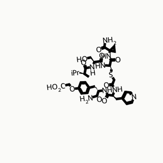 CC(C)[C@H](C)C(=O)N[C@@H](CO)C(=O)N[C@@H](CSCC(=O)N[C@@H](Cc1ccncc1)C(=O)N[C@@H](Cc1ccc(OCC(=O)O)cc1)C(N)=O)C(=O)NC1(C(N)=O)CC1